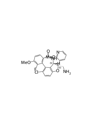 COc1ccc2c(c1F)-c1c(Cl)ccc3c1[C@H](NC2=O)[C@@](CN)(c1cccnc1OC)O3